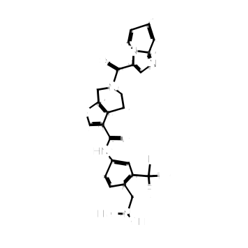 CN(C)Cc1ccc(NC(=O)c2csc3c2CCN(C(=O)c2cnc4ccccn24)C3)cc1C(F)(F)F